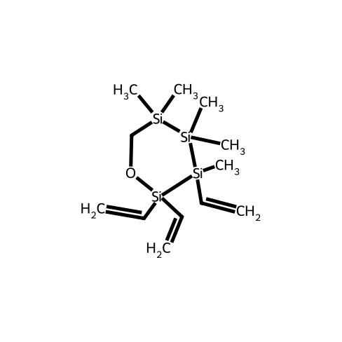 C=C[Si]1(C=C)OC[Si](C)(C)[Si](C)(C)[Si]1(C)C=C